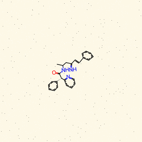 CC(CC(=N)C=Cc1ccccc1)NC(=O)[C@@H](c1ccccc1)c1ccccn1